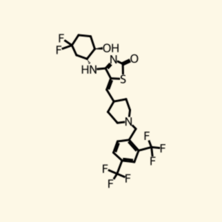 O=C1N=C(N[C@@H]2CC(F)(F)CC[C@H]2O)C(=CC2CCN(Cc3ccc(C(F)(F)F)cc3C(F)(F)F)CC2)S1